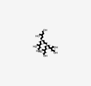 OCCC(CO)CCP(CCCP(CCC(CO)CCO)CCC(CO)CCO)CCC(CO)CCO